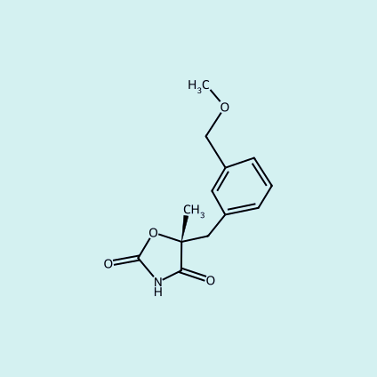 COCc1cccc(C[C@@]2(C)OC(=O)NC2=O)c1